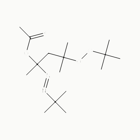 CC(=S)OC(C)(CC(C)(C)OOC(C)(C)C)N=NC(C)(C)C